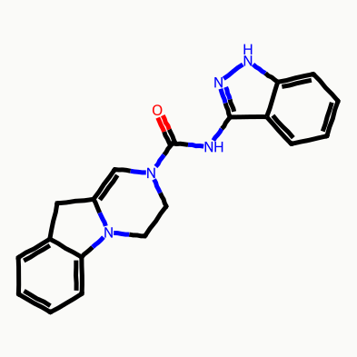 O=C(Nc1n[nH]c2ccccc12)N1C=C2Cc3ccccc3N2CC1